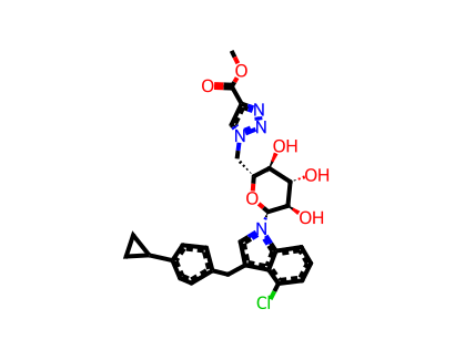 COC(=O)c1cn(C[C@H]2O[C@@H](n3cc(Cc4ccc(C5CC5)cc4)c4c(Cl)cccc43)[C@H](O)[C@@H](O)[C@@H]2O)nn1